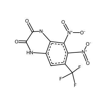 O=C1[N]c2c(cc(C(F)(F)F)c([N+](=O)[O-])c2[N+](=O)[O-])NC1=O